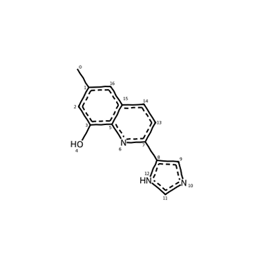 Cc1cc(O)c2nc(-c3cnc[nH]3)ccc2c1